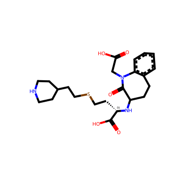 O=C(O)CN1C(=O)C(N[C@@H](CCSCCC2CCNCC2)C(=O)O)CCc2ccccc21